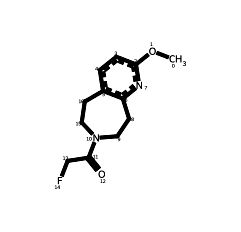 COc1ccc2c(n1)CCN(C(=O)CF)CC2